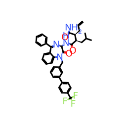 C=CC[C@H](C(N)=O)[C@@H](CC(C)C)C(=O)NC1N=C(c2ccccc2)c2ccccc2N(Cc2cccc(-c3ccc(C(F)(F)F)cc3)c2)C1=O